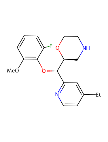 CCc1ccnc([C@H](Oc2c(F)cccc2OC)[C@@H]2CNCCO2)c1